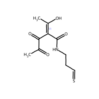 CC(=O)C(=O)/C(C(=O)NCCC=S)=C(\C)O